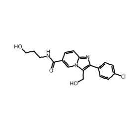 O=C(NCCCO)c1ccc2nc(-c3ccc(Cl)cc3)c(CO)n2c1